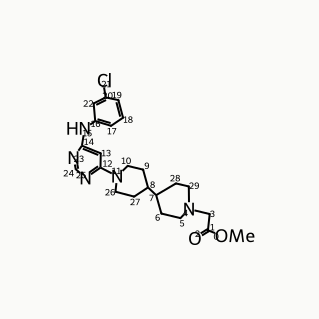 COC(=O)CN1CCC(C2CCN(c3cc(Nc4cccc(Cl)c4)ncn3)CC2)CC1